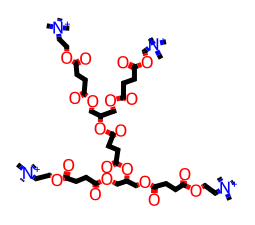 C[N+](C)(C)CCOC(=O)CCC(=O)OCC(COC(=O)CCC(=O)OCC[N+](C)(C)C)OC(=O)CCC(=O)OC(COC(=O)CCC(=O)OCC[N+](C)(C)C)COC(=O)CCC(=O)OC[N+](C)(C)C